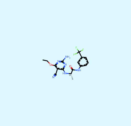 [CH2][C@H](Nc1nc(N)nc(OCC)c1C#N)C(=O)Nc1cccc(C(F)(F)F)c1